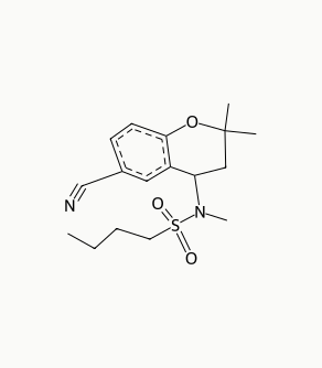 CCCCS(=O)(=O)N(C)C1CC(C)(C)Oc2ccc(C#N)cc21